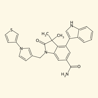 CC1(C)C(=O)N(Cc2ccn(-c3ccsc3)c2)c2cc(C(N)=O)cc(-c3c[nH]c4ccccc34)c21